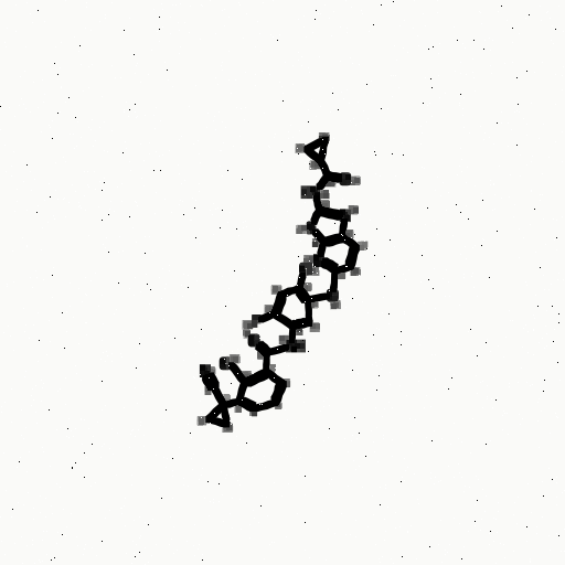 N#CC1(c2cccc(C(=O)Nc3cc(Oc4ccc5nc(NC(=O)C6CC6)sc5n4)c(Cl)cc3F)c2Cl)CC1